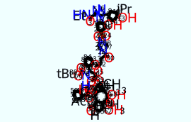 CCNC(=O)c1nnc(-c2cc(C(C)C)c(O)cc2O)n1-c1ccc(S(=O)(=O)N2CCN(C(=O)CCC(=O)O[C@@H](C(=O)O[C@H]3C[C@@]4(O)[C@@H](OC(=O)c5ccccc5)[C@@H]5[C@]6(OC(C)=O)CO[C@@H]6C[C@H](O)[C@@]5(C)C(=O)[C@H](O)C(=C3C)C4(C)C)[C@@H](NC(=O)OC(C)(C)C)c3ccccc3)CC2)cc1